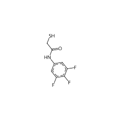 O=C(CS)Nc1cc(F)c(F)c(F)c1